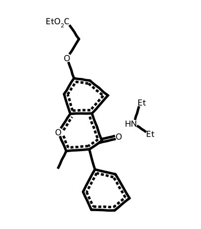 CCNCC.CCOC(=O)COc1ccc2c(=O)c(-c3ccccc3)c(C)oc2c1